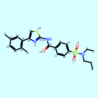 CCCN(CC)S(=O)(=O)c1ccc(C(=O)Nc2nc(-c3cc(C)ccc3C)cs2)cc1